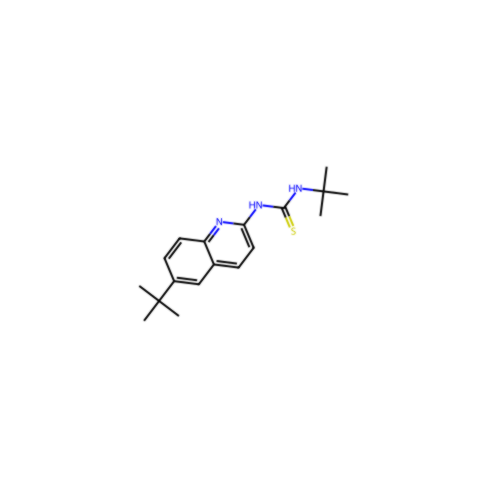 CC(C)(C)NC(=S)Nc1ccc2cc(C(C)(C)C)ccc2n1